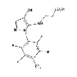 CCOC(=O)CCNc1c(C#N)cnn1-c1c(F)c(F)c(C(F)(F)F)c(F)c1F